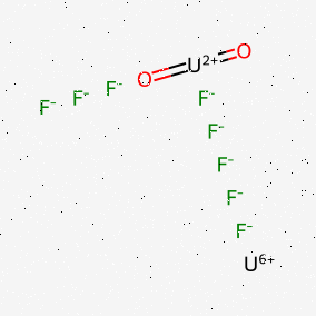 [F-].[F-].[F-].[F-].[F-].[F-].[F-].[F-].[O]=[U+2]=[O].[U+6]